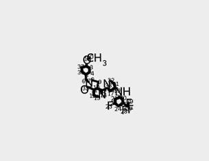 COc1ccc(CN2CCc3c(ccnc3-c3cc(Nc4cc(F)cc(C(F)(F)F)c4)ccn3)C2=O)cc1